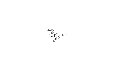 [Au+3].[Au+3].[C-]#[C-].[C-]#[C-].[C-]#[C-]